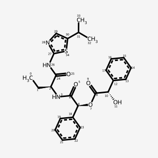 CC[C@H](NC(=O)[C@@H](OC(=O)[C@@H](O)c1ccccc1)c1ccccc1)C(=O)Nc1ncc(C(C)C)s1